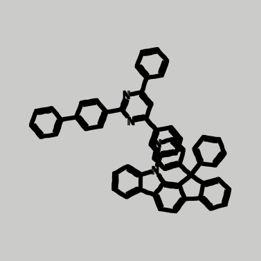 c1ccc(-c2ccc(-c3nc(-c4ccccc4)cc(-c4cccc(-n5c6ccccc6c6ccc7c(c65)C(c5ccccc5)(c5ccncc5)c5ccccc5-7)c4)n3)cc2)cc1